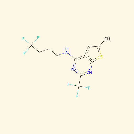 Cc1cc2c(NCCCC(F)(F)F)nc(C(F)(F)F)nc2s1